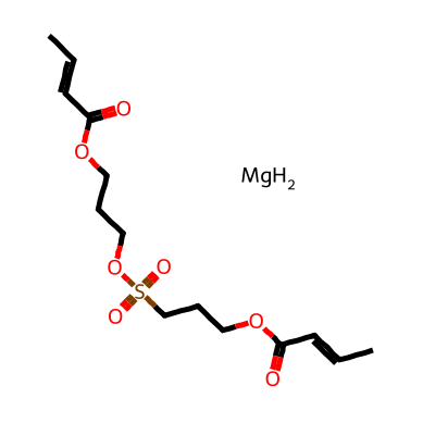 CC=CC(=O)OCCCOS(=O)(=O)CCCOC(=O)C=CC.[MgH2]